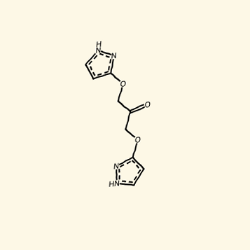 O=C(COc1cc[nH]n1)COc1cc[nH]n1